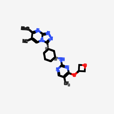 COc1nc2nnc([C@H]3CCC[C@@H](Nc4ncc(C(F)(F)F)c(OC5COC5)n4)C3)n2cc1C#N